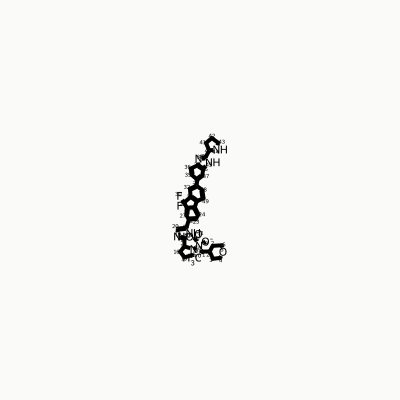 CC(C1CCOCC1)[N+]([O-])(C(=O)O)N1CCCC1c1ncc(-c2ccc3c(c2)C(F)(F)c2cc(-c4ccc5nc(C6CCCN6)[nH]c5c4)ccc2-3)[nH]1